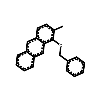 Cc1ccc2cc3ccccc3cc2c1OCc1ccccc1